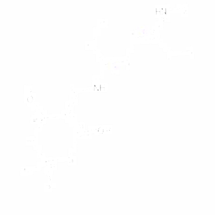 CC/C(=C\C=C(/CC)NC=C1C(=O)CC(C)(C)CC1=O)NC